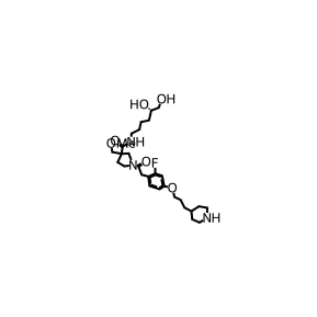 COCC1(C(=O)NCCCC[C@H](O)CO)CCN(C(=O)Cc2ccc(OCCCC3CCNCC3)cc2F)C1